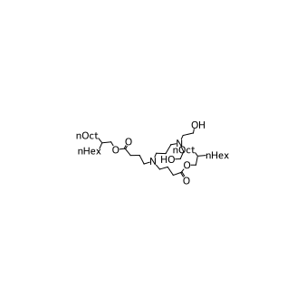 CCCCCCCCC(CCCCCC)COC(=O)CCCN(CCCC(=O)OCC(CCCCCC)CCCCCCCC)CCCN(CCO)CCO